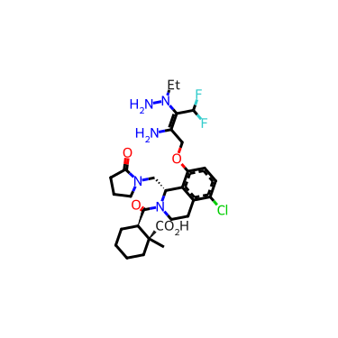 CCN(N)/C(=C(\N)COc1ccc(Cl)c2c1[C@@H](CN1CCCC1=O)N(C(=O)[C@@H]1CCCC[C@]1(C)C(=O)O)CC2)C(F)F